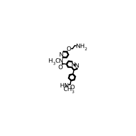 CNC(=O)c1ccc(-c2cnn3ccc(C(=O)N(C)c4ccc(OCCN)cn4)cc23)cc1